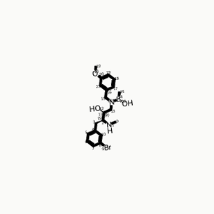 CN[C@@H](Cc1cccc(Br)c1)[C@H](O)CN(Cc1cccc(OC)c1)B(C)O